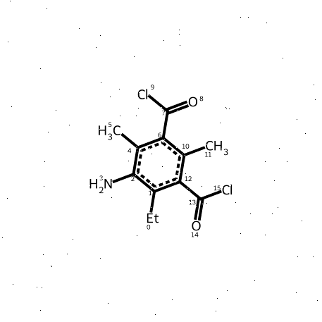 CCc1c(N)c(C)c(C(=O)Cl)c(C)c1C(=O)Cl